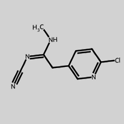 CN/C(Cc1ccc(Cl)nc1)=N/C#N